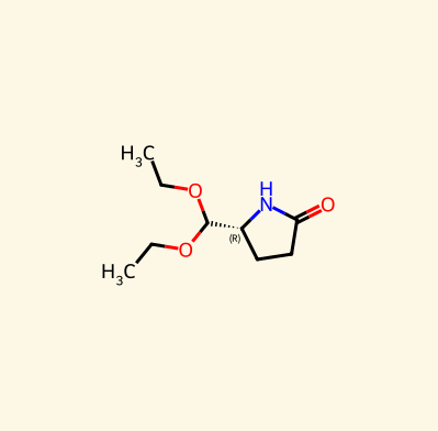 CCOC(OCC)[C@H]1CCC(=O)N1